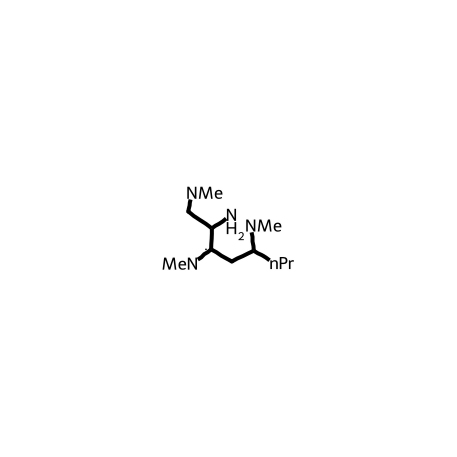 CCCC(C[C](NC)C(N)CNC)NC